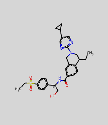 CCC1CN(c2ncc(C3CC3)cn2)Cc2cc(C(=O)N[C@@H](CO)c3ccc(S(=O)(=O)CC)cc3)ccc21